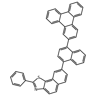 c1ccc(-c2nc3ccc4ccc(-c5ccc(-c6ccc7c8ccccc8c8ccccc8c7c6)c6ccccc56)cc4c3s2)cc1